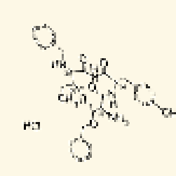 CC[C@H](C)[C@H](NCc1ccccc1)C(=O)NC(=O)[C@H](Cc1ccc(O)cc1)NC(=O)[C@@H](N)COCc1ccccc1.Cl